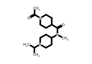 CC(=O)N1CCC(C(=O)N(C)C2CCN(C(C)C)CC2)CC1